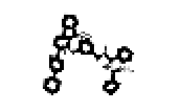 CC1(C)c2ccccc2-c2ccc(-c3ccc(-c4ccccc4)cc3)c(Nc3cccc(CNC(NC(N)c4ccccc4)c4ccccc4)c3)c21